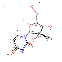 C[C@]1(O)[C@@H](O)[C@@H](CO)O[C@H]1n1ccc(=O)[nH]c1=O